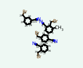 Cc1cccc(C#N)c1CBr.N#Cc1ccc(CBr)cc1.N#Cc1cccc(CBr)c1.N#Cc1ccccc1CBr